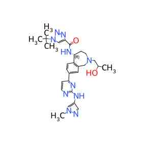 CC(O)CN1CC[C@@H](NC(=O)c2cn(C(C)(C)C)nn2)c2ccc(-c3ccnc(Nc4cnn(C)c4)n3)cc2C1